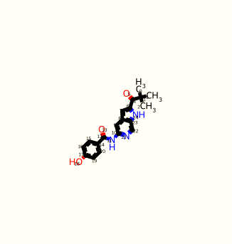 CC(C)(C)C(=O)c1cc2cc(NC(=O)c3ccc(O)cc3)ncc2[nH]1